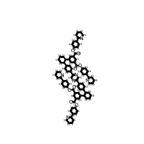 O=C(Oc1ccc(-c2ccccn2)cc1)c1cc(C(=O)Oc2ccc(-c3ccccn3)cc2)cc(-c2ccccc2-c2ccc(-c3cnc(-c4ccc(C5C=CC=CC5c5cc(C(=O)Oc6ccc(-c7ccccn7)cc6)cc(C(=O)Oc6ccc(-c7ccccn7)cc6)c5)cc4)cn3)cc2)c1